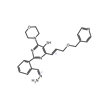 N/N=C\c1ccccc1-c1nc(/C=C/COCc2ccncc2)c(S)c(N2CCOCC2)n1